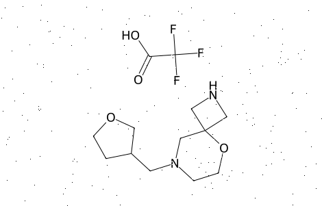 C1CC(CN2CCOC3(CNC3)C2)CO1.O=C(O)C(F)(F)F